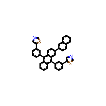 c1cc(-c2cncs2)cc(-c2c3ccccc3c(-c3cccc(-c4cncs4)c3)c3cc(-c4ccc5ccccc5c4)ccc23)c1